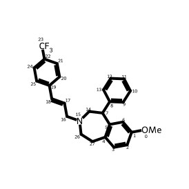 COc1ccc2c(c1)C(c1ccccc1)CN(CC=Cc1ccc(C(F)(F)F)cc1)CC2